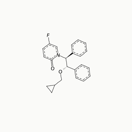 O=c1ccc(F)cn1[C@@H](c1ccccc1)[C@@H](OCC1CC1)c1ccccc1